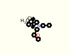 CC1(C)c2ccccc2C2(c3ccccc3-c3c(N(c4ccc(-c5ccccc5)cc4)c4ccc(-c5cccc6c5oc5ccccc56)cc4)cccc32)c2ccccc21